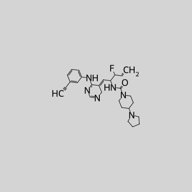 C#Cc1cccc(NC2=NC=NC/C2=C\C(NC(=O)N2CCC(N3CCCC3)CC2)C(F)C=C)c1